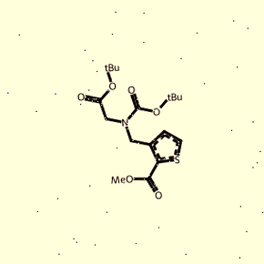 COC(=O)c1sccc1CN(CC(=O)OC(C)(C)C)C(=O)OC(C)(C)C